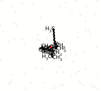 C/C=C(/C)C(=O)OCC1=CCC(=O)[C@@]2([C@H](C)C[C@]3(OC(=O)CCCCCCCCCCC)[C@H](C)C3(C)C)C=C(C)[C@H](OC(=O)/C(C)=C\C)[C@@]2(O)[C@@H]1O